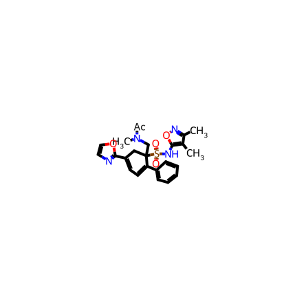 CC(=O)N(C)CC1(S(=O)(=O)Nc2onc(C)c2C)CC(c2ncco2)=CC=C1c1ccccc1